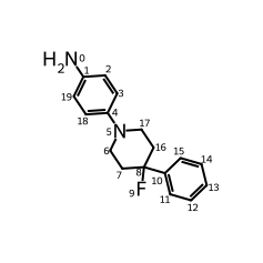 Nc1ccc(N2CCC(F)(c3ccccc3)CC2)cc1